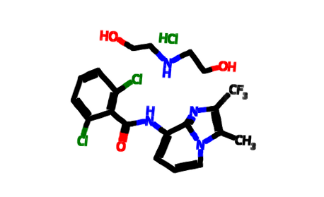 Cc1c(C(F)(F)F)nc2c(NC(=O)c3c(Cl)cccc3Cl)cccn12.Cl.OCCNCCO